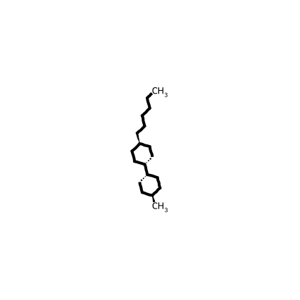 CCCCCC[C@H]1CC[C@H]([C@H]2CC[C@H](C)CC2)CC1